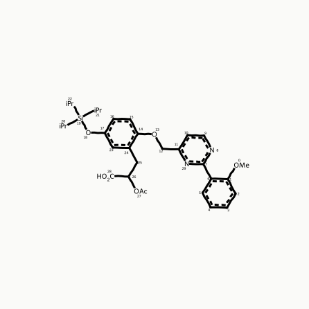 COc1ccccc1-c1nccc(COc2ccc(O[Si](C(C)C)(C(C)C)C(C)C)cc2CC(OC(C)=O)C(=O)O)n1